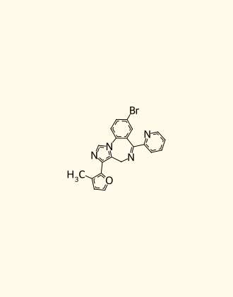 Cc1ccoc1-c1ncn2c1CN=C(c1ccccn1)c1cc(Br)ccc1-2